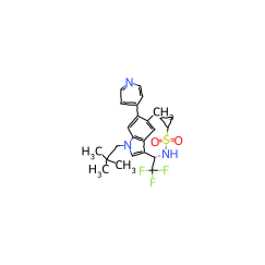 Cc1cc2c([C@H](NS(=O)(=O)C3CC3)C(F)(F)F)cn(CC(C)(C)C)c2cc1-c1ccncc1